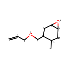 C=CCOCC1CC2OC2CC1C